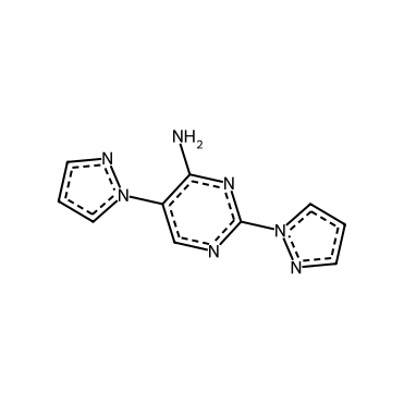 Nc1nc(-n2cccn2)ncc1-n1cccn1